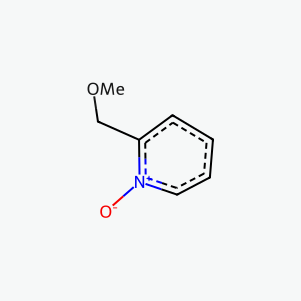 COCc1cccc[n+]1[O-]